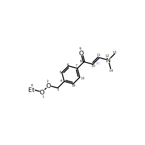 CCOOCc1ccc(C(=O)/C=C/N(C)C)cc1